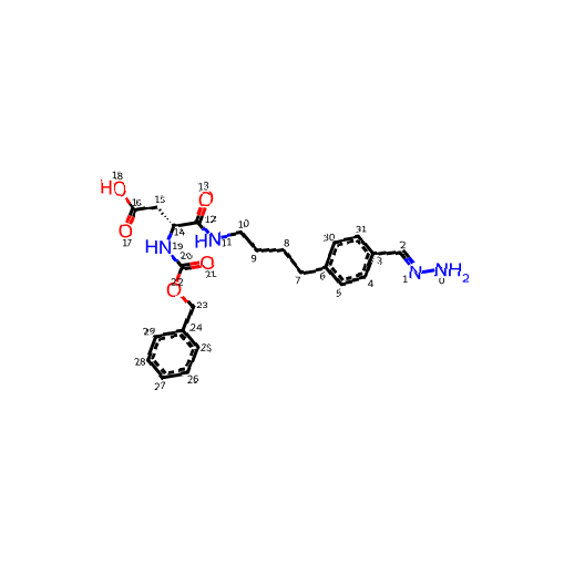 NN=Cc1ccc(CCCCNC(=O)[C@@H](CC(=O)O)NC(=O)OCc2ccccc2)cc1